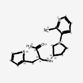 N#Cc1ncccc1N1CC[C@H](N[C@@H](Cc2cccs2)C(N)=O)C1